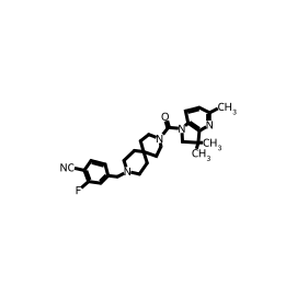 Cc1ccc2c(n1)C(C)(C)CN2C(=O)N1CCC2(CCN(Cc3ccc(C#N)c(F)c3)CC2)CC1